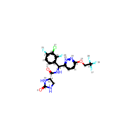 O=C1NC[C@@H](C(=O)NC(c2ccc(OCC(F)(F)F)nn2)c2ccc(F)c(Cl)c2F)N1